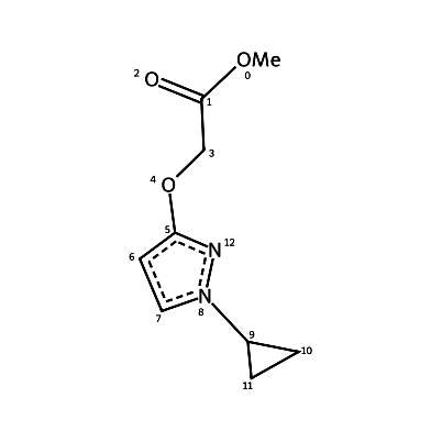 COC(=O)COc1ccn(C2CC2)n1